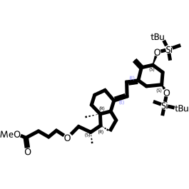 C=C1/C(=C/C=C2\CCC[C@@]3(C)C2CC[C@@H]3[C@H](C)COCCCC(=O)OC)C[C@H](O[Si](C)(C)C(C)(C)C)C[C@@H]1O[Si](C)(C)C(C)(C)C